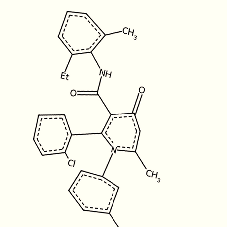 CCc1cccc(C)c1NC(=O)c1c(-c2ccccc2Cl)n(-c2cccc(Cl)c2)c(C)cc1=O